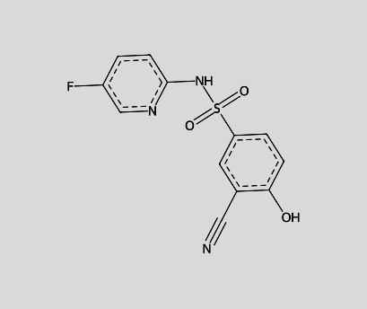 N#Cc1cc(S(=O)(=O)Nc2ccc(F)cn2)ccc1O